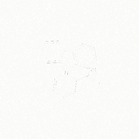 NC(=O)C1C=CC=C[N+]1(c1ccccc1)c1ccccc1